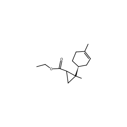 CCOC(=O)C1CC1(C)[C@@H]1CC=C(C)CC1